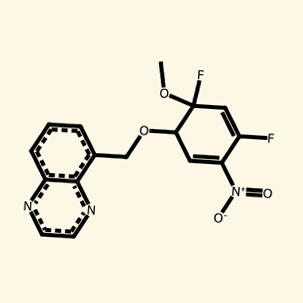 COC1(F)C=C(F)C([N+](=O)[O-])=CC1OCc1cccc2nccnc12